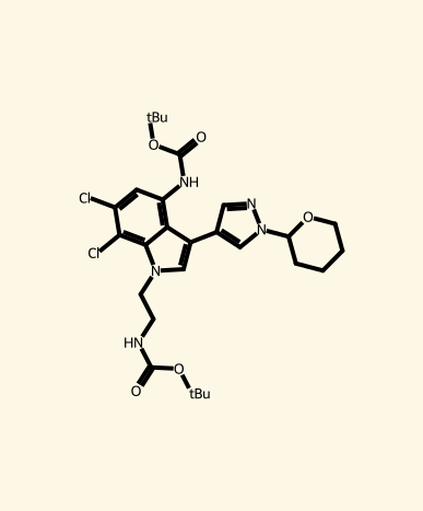 CC(C)(C)OC(=O)NCCn1cc(-c2cnn(C3CCCCO3)c2)c2c(NC(=O)OC(C)(C)C)cc(Cl)c(Cl)c21